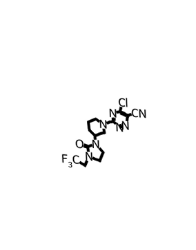 N#Cc1nnc(N2CCCC(N3CCN(CC(F)(F)F)C3=O)C2)nc1Cl